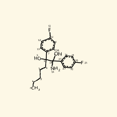 CCCCCC(O)(c1ccc(F)cc1)C(N)(O)c1ccc(F)cc1